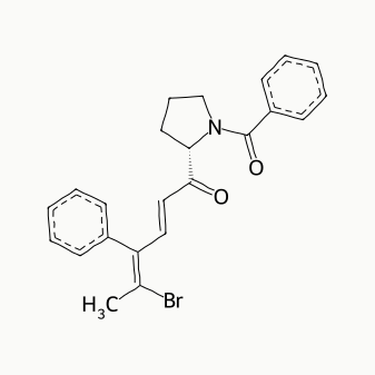 C/C(Br)=C(/C=C/C(=O)[C@@H]1CCCN1C(=O)c1ccccc1)c1ccccc1